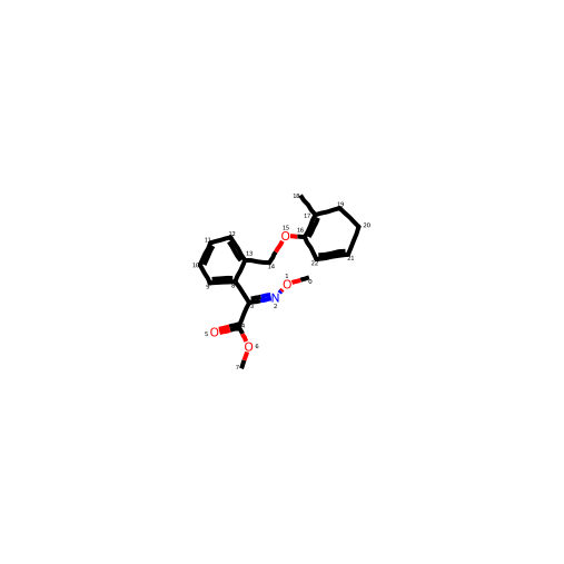 CO/N=C(/C(=O)OC)c1ccccc1COC1=C(C)CCC=C1